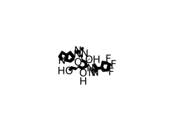 OCC[C@H]1O[C@@H](c2ncnn2-c2ccc3c(c2)CC=N3)[C@H](O)[C@@H](n2cc(-c3cc(F)c(F)c(F)c3)nn2)[C@H]1O